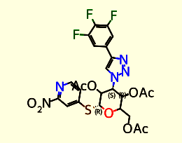 CC(=O)OCC1O[C@H](Sc2ccnc([N+](=O)[O-])c2)C(OC(C)=O)[C@@H](n2cc(-c3cc(F)c(F)c(F)c3)nn2)[C@H]1OC(C)=O